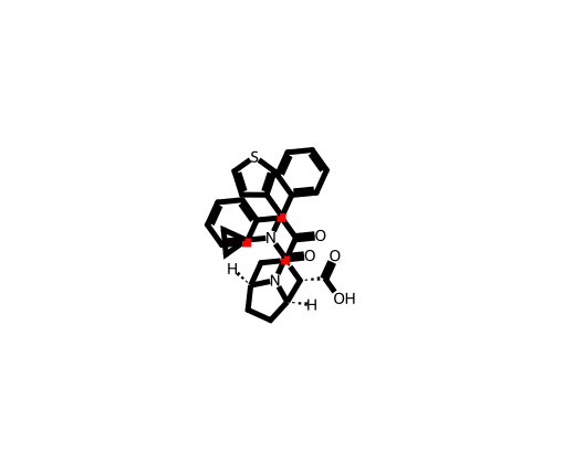 O=C(O)[C@@H]1[C@H]2CC[C@@H](CN1C(=O)C(c1ccccc1)c1ccccc1)N2C(=O)N(Cc1ccsc1)C1CC1